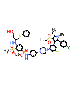 CCOP(=O)(Nc1ccc(N2CCN(c3cc(F)cc(-c4c(S(C)(=O)=O)c(C)n(C(C)C)c4-c4ccc(Cl)cc4)c3)CC2)cc1)c1ccc(NC(CCO)CSc2ccccc2)c(S(C)(=O)=O)c1